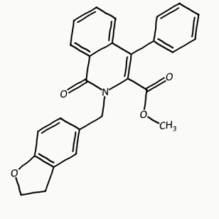 COC(=O)c1c(-c2ccccc2)c2ccccc2c(=O)n1Cc1ccc2c(c1)CCO2